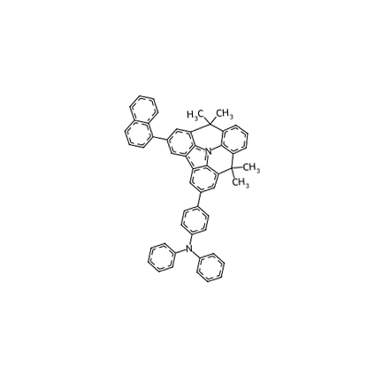 CC1(C)c2cccc3c2-n2c4c1cc(-c1ccc(N(c5ccccc5)c5ccccc5)cc1)cc4c1cc(-c4cccc5ccccc45)cc(c12)C3(C)C